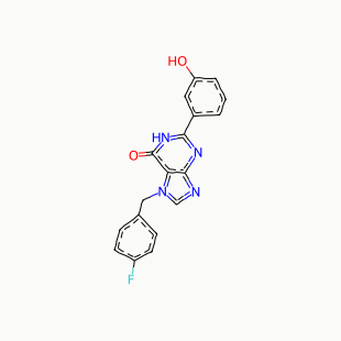 O=c1[nH]c(-c2cccc(O)c2)nc2ncn(Cc3ccc(F)cc3)c12